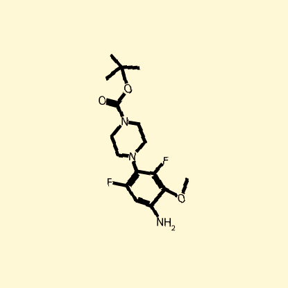 COc1c(N)cc(F)c(N2CCN(C(=O)OC(C)(C)C)CC2)c1F